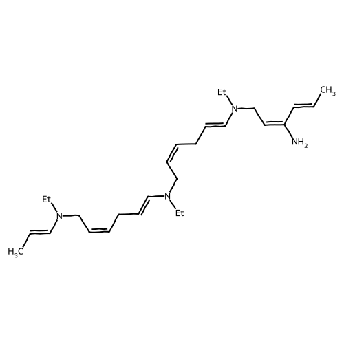 C/C=C/C(N)=C\CN(/C=C/C/C=C\CN(/C=C/C/C=C\CN(/C=C/C)CC)CC)CC